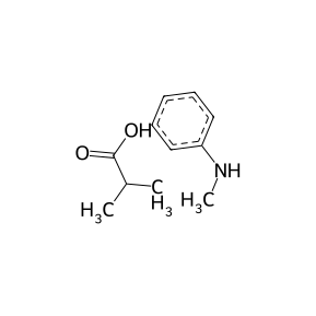 CC(C)C(=O)O.CNc1ccccc1